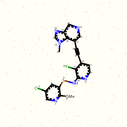 COc1ncc(Cl)cc1SNc1nccc(C#Cc2cncc3ncn(C)c23)c1F